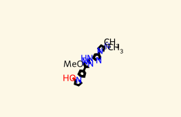 COc1nc(Nc2cncc(N3CC[C@@H](N(C)C)C3)c2)ncc1-c1ccc(N2CCCC2O)cc1